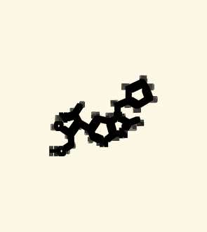 Cc1noc(CO)c1-c1cnc2nc(C)n(Cc3ccccc3)c2c1